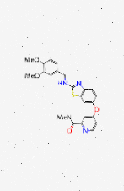 CNC(=O)c1cc(Oc2ccc3nc(NCc4ccc(OC)c(OC)c4)sc3c2)ccn1